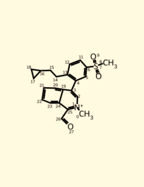 C[n+]1cc(-c2cc(S(C)(=O)=O)ccc2CCC2CC2)c2ccccc2c1C=O